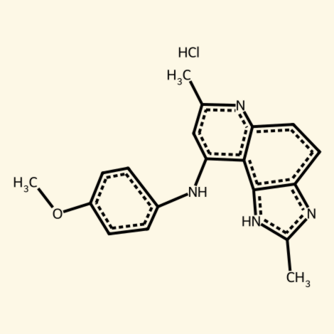 COc1ccc(Nc2cc(C)nc3ccc4nc(C)[nH]c4c23)cc1.Cl